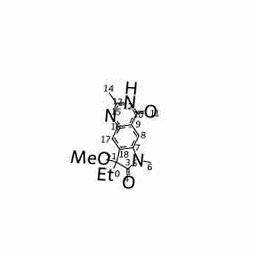 CCC1(OC)C(=O)N(C)c2cc3c(=O)[nH]c(C)nc3cc21